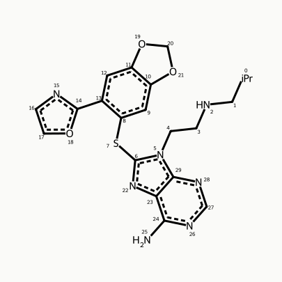 CC(C)CNCCn1c(Sc2cc3c(cc2-c2ncco2)OCO3)nc2c(N)ncnc21